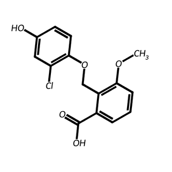 COc1cccc(C(=O)O)c1COc1ccc(O)cc1Cl